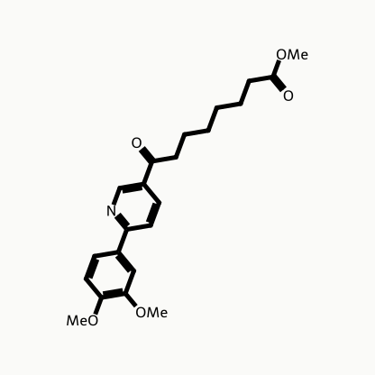 COC(=O)CCCCCCC(=O)c1ccc(-c2ccc(OC)c(OC)c2)nc1